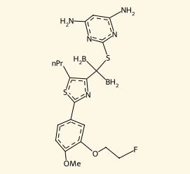 BC(B)(Sc1nc(N)cc(N)n1)c1nc(-c2ccc(OC)c(OCCF)c2)sc1CCC